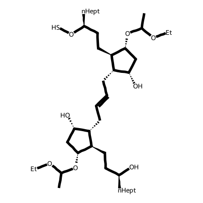 CCCCCCC[C@H](O)CC[C@@H]1[C@@H](C/C=C/C[C@@H]2[C@@H](CC[C@H](CCCCCCC)OS)[C@H](OC(C)OCC)C[C@@H]2O)[C@@H](O)C[C@H]1OC(C)OCC